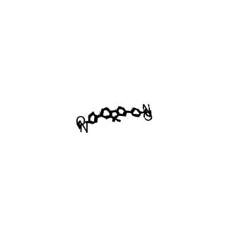 CC1(C)c2cc(-c3ccc(-c4ncco4)cc3)ccc2-c2ccc(-c3ccc(-c4ncco4)cc3)cc21